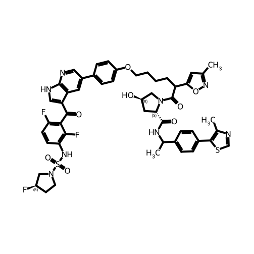 Cc1cc(C(CCCCOc2ccc(-c3cnc4[nH]cc(C(=O)c5c(F)ccc(NS(=O)(=O)N6CC[C@@H](F)C6)c5F)c4c3)cc2)C(=O)N2C[C@H](O)C[C@H]2C(=O)NC(C)c2ccc(-c3scnc3C)cc2)on1